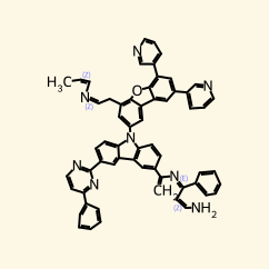 C=C(/N=C(\C=C/N)c1ccccc1)c1ccc2c(c1)c1cc(-c3nccc(-c4ccccc4)n3)ccc1n2-c1cc(C/C=N\C=C/C)c2oc3c(-c4cccnc4)cc(-c4cccnc4)cc3c2c1